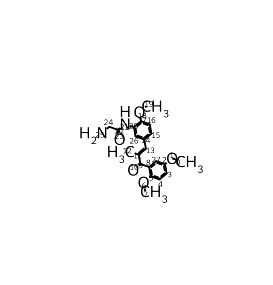 COc1ccc(OC)c(C(=O)C(C)=Cc2ccc(OC)c(NC(=O)CN)c2)c1